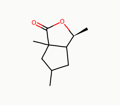 CC1CC2[C@H](C)OC(=O)C2(C)C1